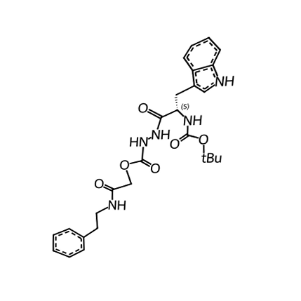 CC(C)(C)OC(=O)N[C@@H](Cc1c[nH]c2ccccc12)C(=O)NNC(=O)OCC(=O)NCCc1ccccc1